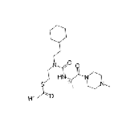 CC(=O)SCCN(CCC1CCCCC1)C(=O)N[C@@H](C)C(=O)N1CCN(C)CC1.[H+]